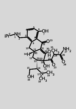 CC(C)NCc1ccc(O)c2c1C[C@H]1C[C@@H](C(CO)N(C)C)[C@@](O)(C(=O)C(C)C(N)=O)C(O)=C1C2=O